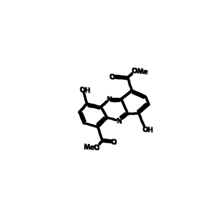 COC(=O)c1ccc(O)c2nc3c(C(=O)OC)ccc(O)c3nc12